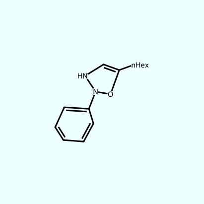 [CH2]CCCCCC1=CNN(c2ccccc2)O1